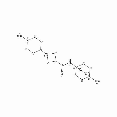 CC(C)(C)N1CCC(N2CC(C(=O)NC34CCC(C(C)(C)C)(CC3)CC4)C2)CC1